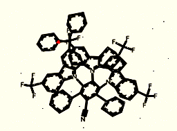 N#Cc1c(-c2ccccc2)c(-n2c3ccc(C(F)(F)F)cc3c3cc(C(F)(F)F)ccc32)c(-n2c3ccccc3c3cc(N(c4ccccc4)c4ccccc4)ccc32)c(-n2c3ccc(C(F)(F)F)cc3c3cc(C(F)(F)F)ccc32)c1-c1ccccc1